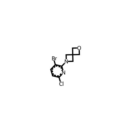 Clc1ccc(Br)c(N2CC3(COC3)C2)n1